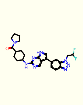 O=C(C1CCC(Nc2ncc3c(-c4ccc5nnn(CC(F)F)c5c4)c[nH]c3n2)CC1)N1CCCC1